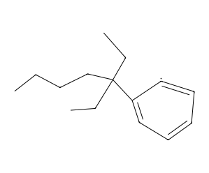 CCCCC(CC)(CC)c1[c]cccc1